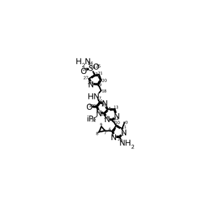 Cc1nc(N)nc(C2CC2)c1-c1ncc2nc(NCc3ccc(S(N)(=O)=O)cn3)c(=O)n(C(C)C)c2n1